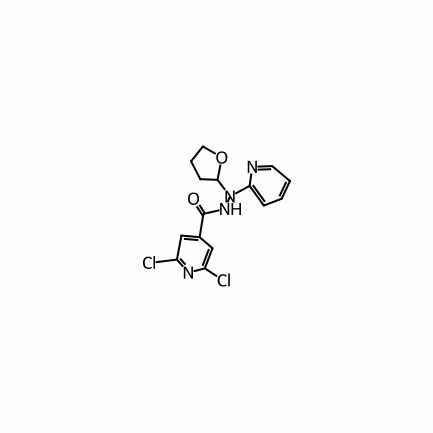 O=C(NN(c1ccccn1)C1CCCO1)c1cc(Cl)nc(Cl)c1